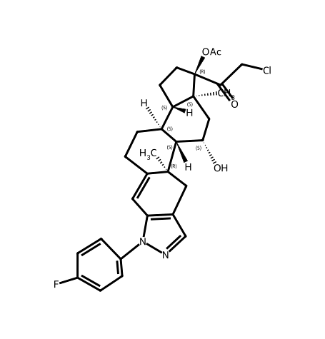 CC(=O)O[C@]1(C(=O)CCl)CC[C@H]2[C@@H]3CCC4=Cc5c(cnn5-c5ccc(F)cc5)C[C@]4(C)[C@H]3[C@@H](O)C[C@@]21C